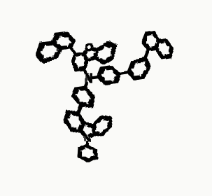 c1ccc(-n2c3ccccc3c3c(-c4ccc(N(c5ccc(-c6cccc(-c7cccc8ccccc78)c6)cc5)c5ccc(-c6cccc7ccccc67)c6oc7ccccc7c56)cc4)cccc32)cc1